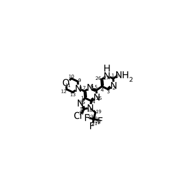 NC1N=CC(c2nc(N3CCOCC3)c3nc(Cl)n(CC(F)(F)F)c3n2)=CN1